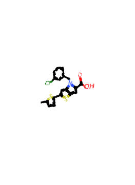 Cc1ccc(-c2cc3c(cc(C(=O)O)n3Cc3cccc(Cl)c3)s2)s1